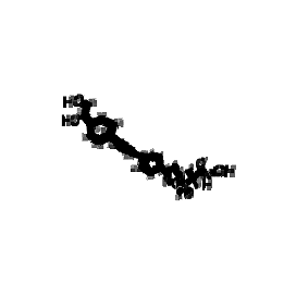 C[C@@](C[C@H]1CC(c2ccc(C#CC3CCC([C@H](O)CO)CC3)cc2)=NO1)(C(=O)NO)S(C)(=O)=O